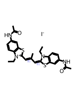 CCN1/C(=C\C(C)=C\c2sc3cc(NC(C)=O)ccc3[n+]2CC)Sc2cc(NC(C)=O)ccc21.[I-]